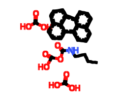 CCCCNC(=O)OC(=O)O.O=C(O)O.O=C(O)O.c1cc2cccc3c4cccc5cccc(c(c1)c23)c54